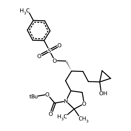 Cc1ccc(S(=O)(=O)OC[C@H](CCC2(O)CC2)CC2COC(C)(C)N2C(=O)OC(C)(C)C)cc1